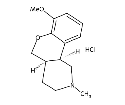 COc1cccc2c1OC[C@@H]1CCN(C)C[C@H]21.Cl